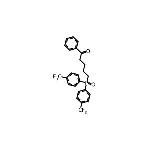 O=C(CCCCP(=O)(c1ccc(C(F)(F)F)cc1)c1ccc(C(F)(F)F)cc1)c1ccccc1